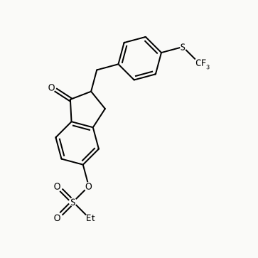 CCS(=O)(=O)Oc1ccc2c(c1)CC(Cc1ccc(SC(F)(F)F)cc1)C2=O